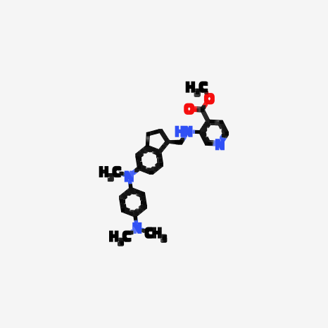 COC(=O)c1ccncc1NC[C@@H]1CCc2cc(N(C)c3ccc(N(C)C)cc3)ccc21